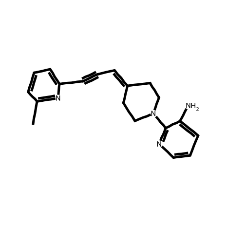 Cc1cccc(C#CC=C2CCN(c3ncccc3N)CC2)n1